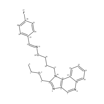 CCOCc1nc2cnc3ccccc3c2n1CCCON=Cc1ccc(F)cc1